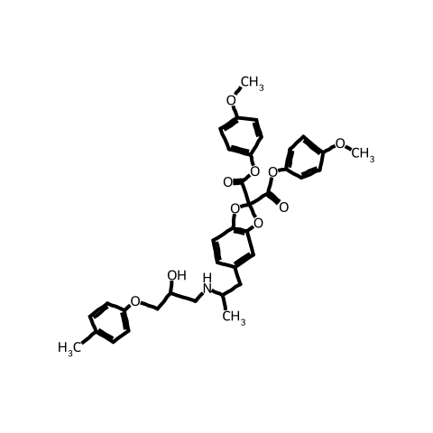 COc1ccc(OC(=O)C2(C(=O)Oc3ccc(OC)cc3)Oc3ccc(CC(C)NCC(O)COc4ccc(C)cc4)cc3O2)cc1